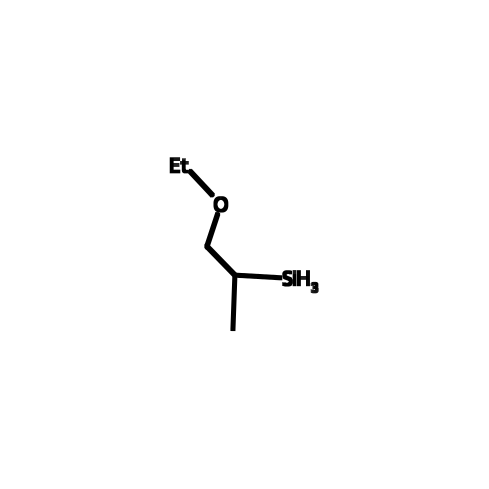 CCOCC(C)[SiH3]